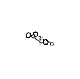 O=Cc1ccc(SCCCCC2(c3ccccc3)CCCCC2)c(Br)c1